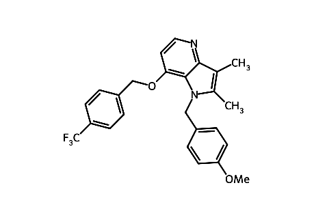 COc1ccc(Cn2c(C)c(C)c3nccc(OCc4ccc(C(F)(F)F)cc4)c32)cc1